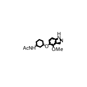 COc1c(O[C@H]2CCC[C@@H](NC(C)=O)C2)ccc2[nH]ncc12